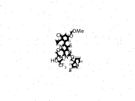 COCOc1cc(Cl)c(C2CC2)c(-c2nc3c4c(nc(OC[C@@]56CCCN5C[C@H](F)C6)nc4c2F)N(C[C@H](O)C(F)(F)F)[C@@H](C)CO3)c1